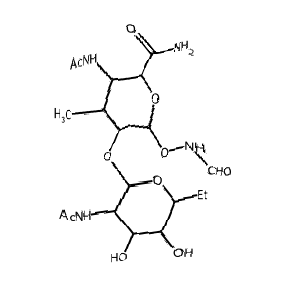 CCC1OC(OC2C(ONC=O)OC(C(N)=O)C(NC(C)=O)C2C)C(NC(C)=O)C(O)C1O